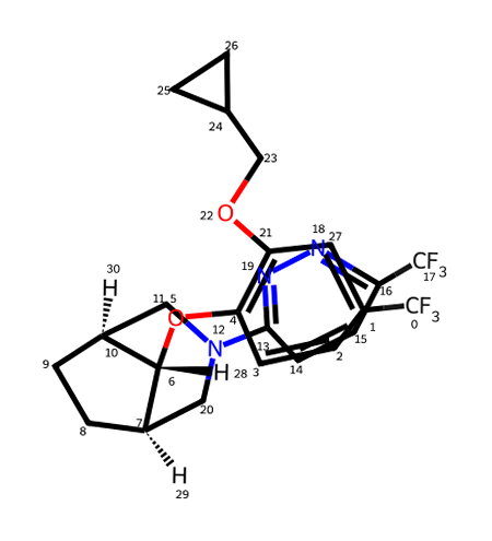 FC(F)(F)c1ccc(O[C@@H]2[C@@H]3CC[C@H]2CN(c2ccc(C(F)(F)F)nn2)C3)c(OCC2CC2)c1